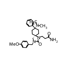 COc1ccc(CN2C[C@]3(CC[C@@](c4ccccc4)(N(C)C)CC3)N(CCC(N)=O)C2=O)cc1